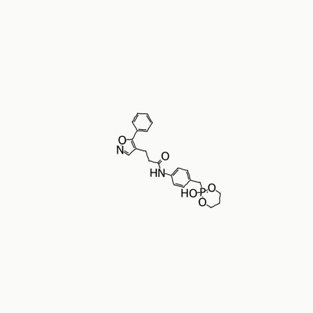 O=C(CCc1cnoc1-c1ccccc1)Nc1ccc(C[P]2(O)OCCCO2)cc1